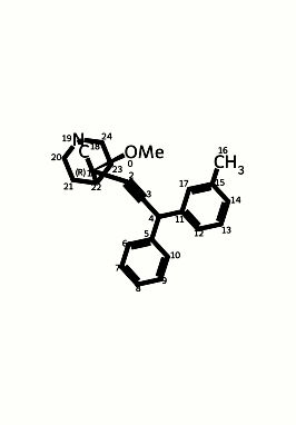 CO[C@]1(C#CC(c2ccccc2)c2cccc(C)c2)CN2CCC1CC2